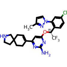 Cc1ccn(-c2cc(Cl)ccc2[C@@H](Oc2cc(C3=CCC4(CCNC4)CC3)nc(N)n2)C(F)(F)F)n1